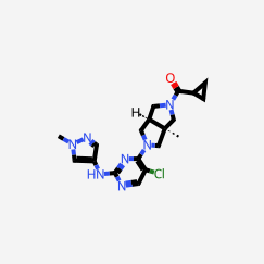 Cn1cc(Nc2ncc(Cl)c(N3C[C@H]4CN(C(=O)C5CC5)C[C@@]4(C)C3)n2)cn1